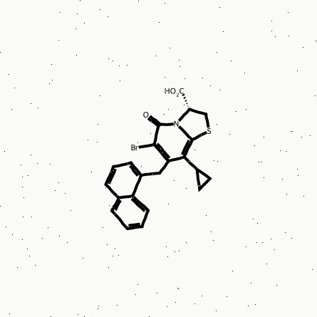 O=C(O)[C@@H]1CSc2c(C3CC3)c(Cc3cccc4ccccc34)c(Br)c(=O)n21